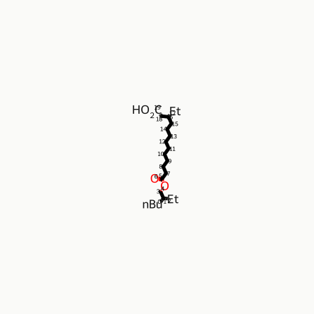 CCCCC(CC)COC(=O)CCCCCCCCCC(CC)CC(=O)O